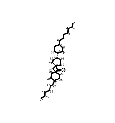 CCCCCCCC1CCC([C@H]2CC[C@]3(CC2)C[C@@]2(CCC(CCCCCC)CC2)C3=O)CC1